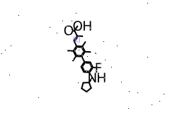 C/C(=C\c1c(C)c(C)c(-c2ccc(NC3CCCC3)c(F)c2)c(C)c1C)C(=O)O